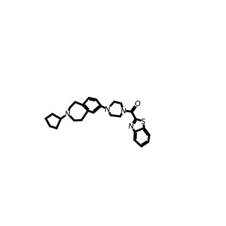 O=C(c1nc2ccccc2s1)N1CCN(c2ccc3c(c2)CCN(C2CCCC2)CC3)CC1